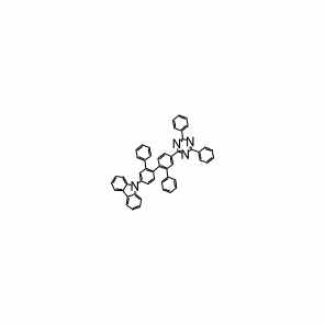 c1ccc(-c2nc(-c3ccccc3)nc(-c3ccc(-c4ccc(-n5c6ccccc6c6ccccc65)cc4-c4ccccc4)c(-c4ccccc4)c3)n2)cc1